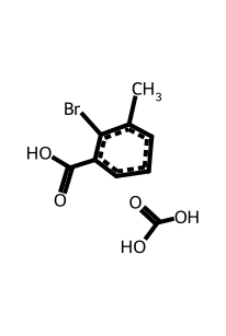 Cc1cccc(C(=O)O)c1Br.O=C(O)O